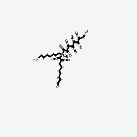 CCCCCCCCP(=C=O)(C(=C=O)C(=C=O)CCCCCC=C=O)C(=C=O)C(=C=O)C(=C=O)C(=C=O)C(=C=O)C(=C=O)C(=C=O)C=C=O